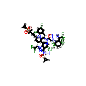 CC(C)(C#Cc1ccc(-c2ccc(Cl)c3c(N[S+]([O-])C4CC4)nn(CC(F)F)c23)c([C@H](Cc2cc(F)cc(F)c2)NC(=O)CNC2=C(C(=N)C(F)F)C(F)(F)CCC2(F)F)n1)S(=O)(=O)C1CC1